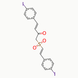 O=C(/C=C/c1ccc(I)cc1)CS(=O)(=O)/C=C/c1ccc(I)cc1